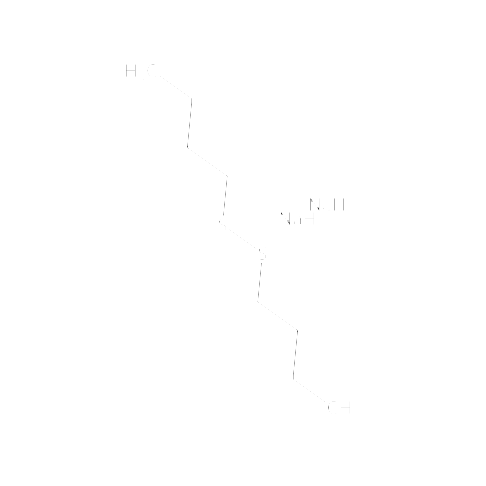 CCCCSSCCCC.[NaH].[NaH]